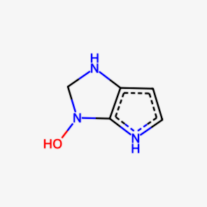 ON1CNc2cc[nH]c21